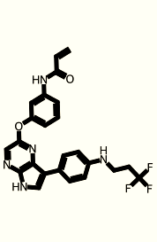 C=CC(=O)Nc1cccc(Oc2cnc3[nH]cc(-c4ccc(NCCC(F)(F)F)cc4)c3n2)c1